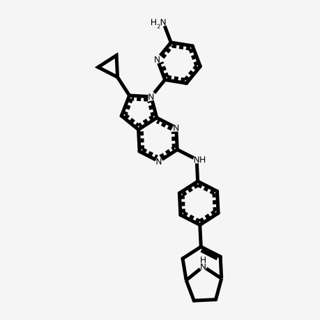 Nc1cccc(-n2c(C3CC3)cc3cnc(Nc4ccc(C5=CC6CCC(C5)N6)cc4)nc32)n1